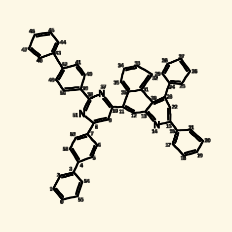 c1ccc(-c2ccc(-c3cc(-c4cc5nc(-c6ccccc6)cc(-c6ccccc6)c5c5ccccc45)nc(-c4ccc(-c5ccccc5)cc4)n3)cc2)cc1